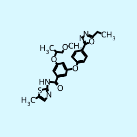 CCc1nnc(-c2ccc(Oc3cc(OC(C)COC)cc(C(=O)Nc4ncc(C)s4)c3)cc2)o1